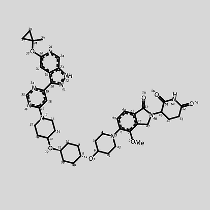 COc1c(N2CCC(O[C@H]3CC[C@H](OC4CCN(c5cc(-c6n[nH]c7cnc(OC8(C)CC8)cc67)ncn5)CC4)CC3)CC2)ccc2c1CN(C1CCC(=O)NC1=O)C2=O